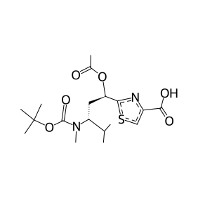 CC(=O)O[C@H](C[C@H](C(C)C)N(C)C(=O)OC(C)(C)C)c1nc(C(=O)O)cs1